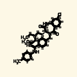 B=C(Nc1ccc(C)cn1)c1ccc(CN2C(=O)c3ccc(Cl)cc3NC(=O)[C@H]2CCN(CC)CCC)cc1